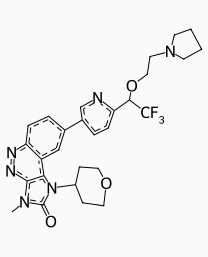 Cn1c(=O)n(C2CCOCC2)c2c3cc(-c4ccc(C(OCCN5CCCC5)C(F)(F)F)nc4)ccc3nnc21